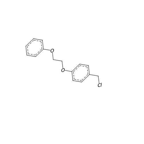 ClCc1ccc(OCCOc2ccccc2)cc1